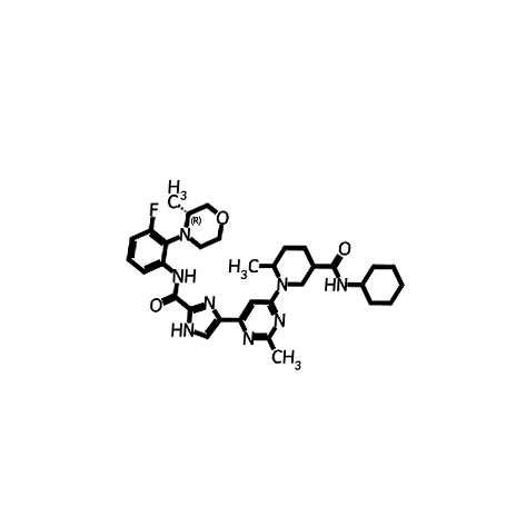 Cc1nc(-c2c[nH]c(C(=O)Nc3cccc(F)c3N3CCOC[C@H]3C)n2)cc(N2CC(C(=O)NC3CCCCC3)CCC2C)n1